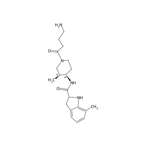 Cc1cccc2c1NC(C(=O)N[C@@H]1CCN(C(=O)CCCN)C[C@@H]1C)C2